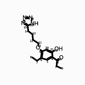 CCC(=O)c1cc(CC)c(OCCCCc2nnn[nH]2)cc1O